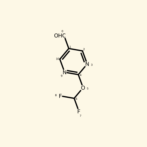 O=Cc1cnc(OC(F)F)nc1